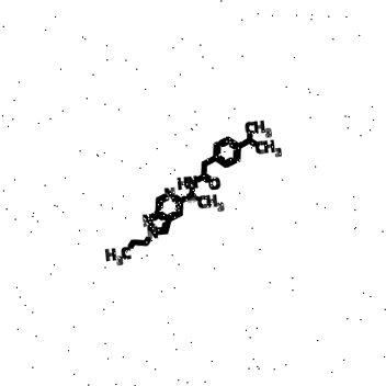 CCCn1cc2cc([C@@H](C)NC(=O)Cc3ccc(C(C)C)cc3)ncc2n1